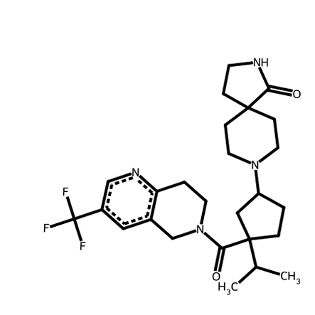 CC(C)C1(C(=O)N2CCc3ncc(C(F)(F)F)cc3C2)CCC(N2CCC3(CCNC3=O)CC2)C1